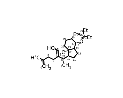 C=C(C)CCC(CO)[C@@H](C)C1CCC2[C@@H](O[Si](CC)(CC)CC)CCC[C@]12C